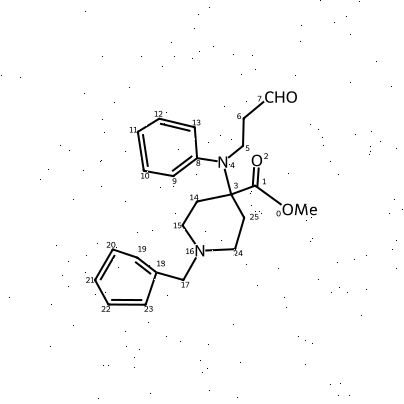 COC(=O)C1(N(CCC=O)c2ccccc2)CCN(Cc2ccccc2)CC1